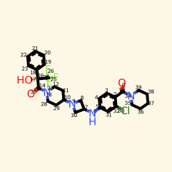 O=C(c1ccc(NC2CN(C3CCN(C(=O)[C@@](O)(c4ccccc4)C(F)(F)F)CC3)C2)cc1Cl)N1CCCCC1